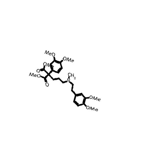 COC(=O)C(CCCN(C)CCc1ccc(OC)c(OC)c1)(C(=O)OC)c1ccc(OC)c(OC)c1